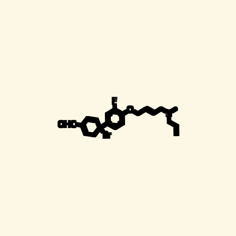 C=CCN(C)CC=CCOc1ccc(C2(Br)C=CC(C=O)=CC2)cc1F